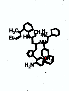 C=C/C(=C\C(=C/C1=C(c2ccccc2N)C=C=C1)NC(=C\C(N)C1=CC=CCC1)/C(/C=C\C)=C/c1ccccc1)Nc1ccccc1C(=C)/C=C\CC